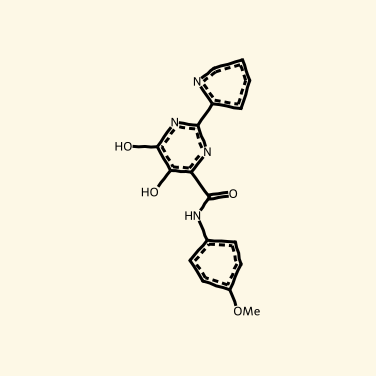 COc1ccc(NC(=O)c2nc(-c3ccccn3)nc(O)c2O)cc1